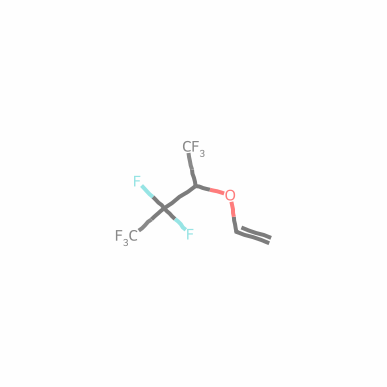 C=COC(C(F)(F)F)C(F)(F)C(F)(F)F